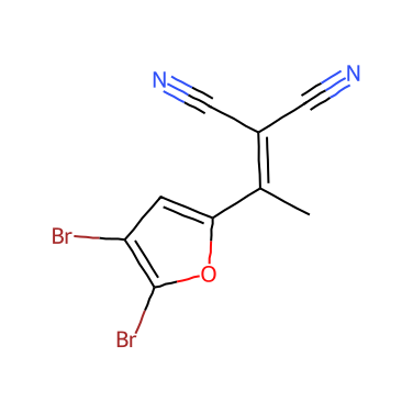 CC(=C(C#N)C#N)c1cc(Br)c(Br)o1